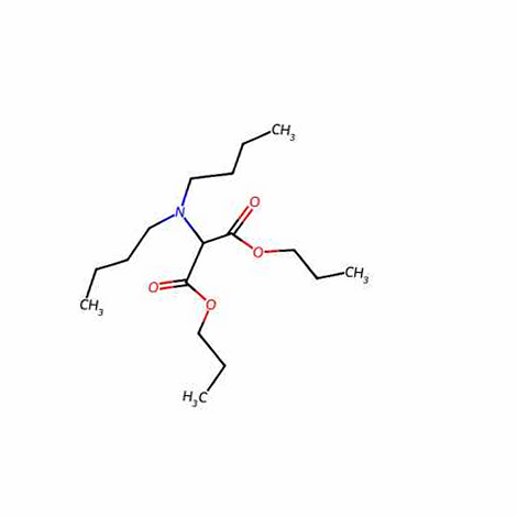 CCCCN(CCCC)C(C(=O)OCCC)C(=O)OCCC